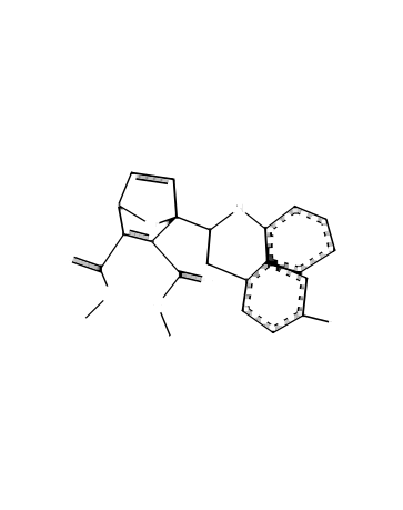 COC(=O)C1=C(C(=O)OC)C2(C(Cc3ccc(Cl)cc3Cl)Nc3ccccc3)C=CC1O2